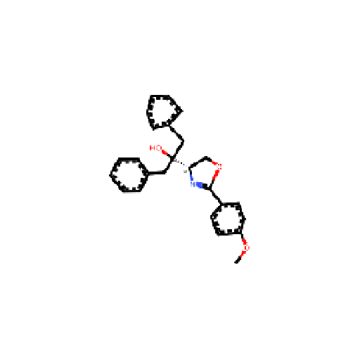 COc1ccc(C2=N[C@H](C(O)(Cc3ccccc3)Cc3ccccc3)CO2)cc1